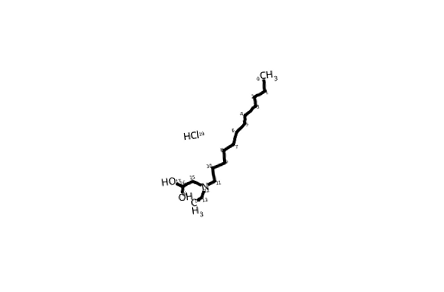 CCCCCCCCCCCCN(CC)CC(O)O.Cl